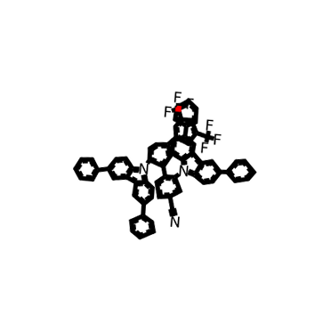 N#Cc1ccc(-c2cc(-c3cc(C(F)(F)F)cc(C(F)(F)F)c3)ccc2-n2c3ccc(-c4ccccc4)cc3c3cc(-c4ccccc4)ccc32)c(-n2c3ccc(-c4ccccc4)cc3c3cc(-c4ccccc4)ccc32)c1